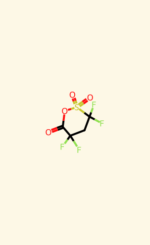 O=C1OS(=O)(=O)C(F)(F)CC1(F)F